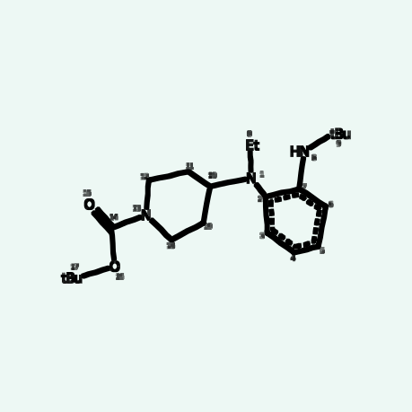 CCN(c1ccccc1NC(C)(C)C)C1CCN(C(=O)OC(C)(C)C)CC1